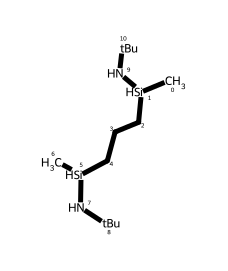 C[SiH](CCC[SiH](C)NC(C)(C)C)NC(C)(C)C